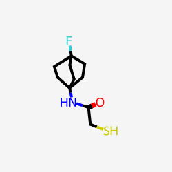 O=C(CS)NC12CCC(F)(CC1)CC2